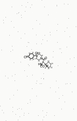 O=C(O)NC(C(=O)N1CCC(O)(c2ccc(Cl)cc2)CC1)C1CCCCC1